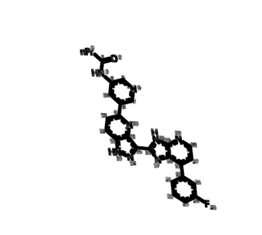 CCCC(=O)Nc1cncc(-c2ccc3[nH]nc(-c4nc5c(-c6cccc(F)c6)ccnc5[nH]4)c3n2)c1